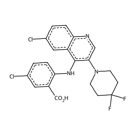 O=C(O)c1cc(Cl)ccc1Nc1c(N2CCC(F)(F)CC2)cnc2ccc(Cl)cc12